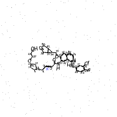 O=C(/C=C/CN1CC[C@@H](OCCO)C1)Nc1cc2c(Nc3ccc(F)c(Cl)c3)ncnc2cc1OCC1C2COCC21